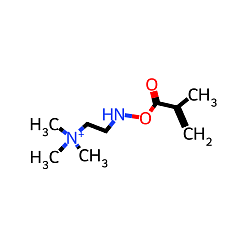 C=C(C)C(=O)ONCC[N+](C)(C)C